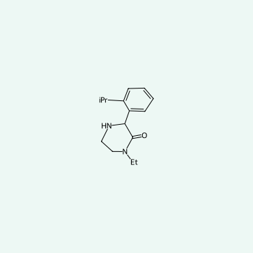 CCN1CCNC(c2ccccc2C(C)C)C1=O